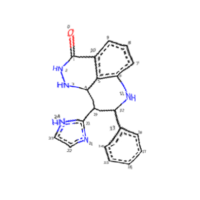 O=C1NNC2c3c(cccc31)NC(c1ccccc1)C2c1ncc[nH]1